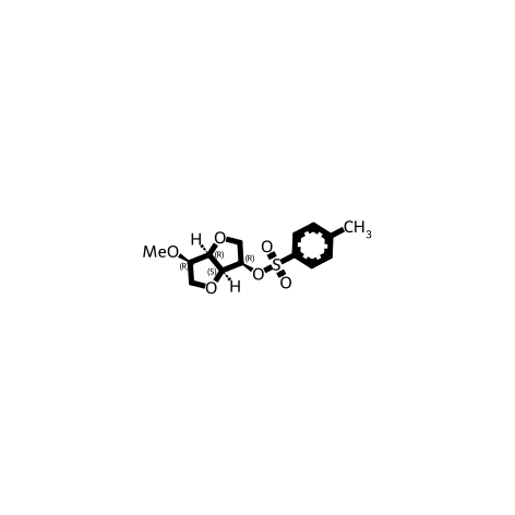 CO[C@@H]1CO[C@H]2[C@@H]1OC[C@H]2OS(=O)(=O)c1ccc(C)cc1